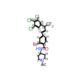 CC(=O)N1CCC(NC(=O)c2ccc(C=CC(c3cc(Cl)c(Cl)c(Cl)c3)C(F)(F)F)cc2Br)CC1